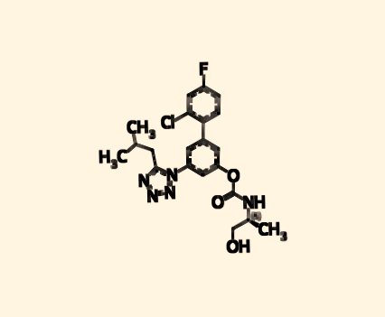 CC(C)Cc1nnnn1-c1cc(OC(=O)N[C@@H](C)CO)cc(-c2ccc(F)cc2Cl)c1